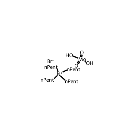 CCCCC[N+](CCCCC)(CCCCC)CCCCC.[Br-].[O]=[Mo](=[O])([OH])[OH]